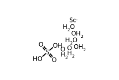 O.O.O.O.O.O.O=S(=O)(O)O.[Sc]